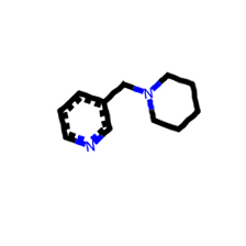 [CH](c1cccnc1)N1CCCCC1